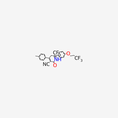 Cc1ccc(C2=C(C#N)C(=O)N[C@@](c3ccc(OCCC(F)(F)F)cc3)(C(F)(F)F)C2)cc1